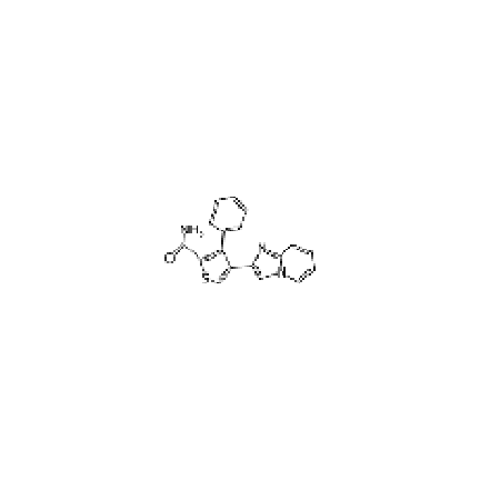 NC(=O)c1scc(-c2cn3ccccc3n2)c1-c1ccccc1